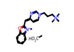 CC(=O)O.C[n+]1c(C=C2C=CN(CCC[N+](C)(C)C)C=N2)oc2ccccc21